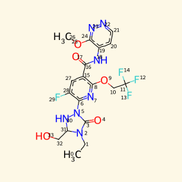 CCN1C(=O)N(c2nc(OCC(F)(F)F)c(C(=O)Nc3ccnnc3OC)cc2F)NC1CO